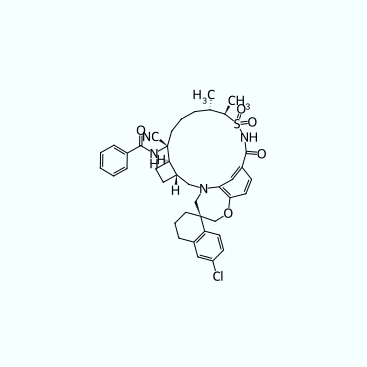 C[C@@H]1[C@@H](C)CCC[C@@](C#N)(NC(=O)c2ccccc2)[C@@H]2CC[C@H]2CN2C[C@@]3(CCCc4cc(Cl)ccc43)COc3ccc(cc32)C(=O)NS1(=O)=O